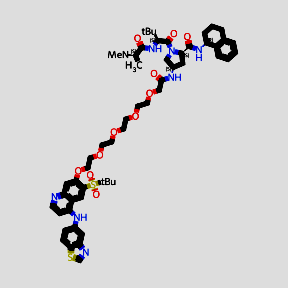 CN[C@@H](C)C(=O)N[C@H](C(=O)N1C[C@@H](NC(=O)COCCOCCOCCOCCOc2cc3nccc(Nc4ccc5scnc5c4)c3cc2S(=O)(=O)C(C)(C)C)C[C@H]1C(=O)N[C@@H]1CCCc2ccccc21)C(C)(C)C